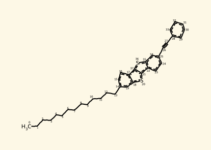 CCCCCCCCCCCCCCc1ccc2c(c1)sc1c3ccc(C#Cc4ccccc4)cc3sc21